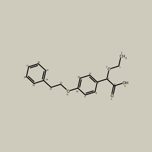 CCOC(C(=O)O)c1ccc(OCCc2ccccc2)cc1